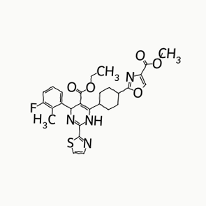 CCOC(=O)C1=C(C2CCC(c3nc(C(=O)OC)co3)CC2)NC(c2nccs2)=NC1c1cccc(F)c1C